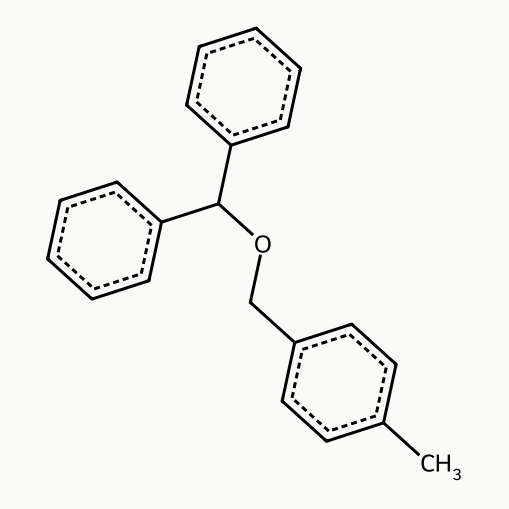 Cc1ccc(COC(c2ccccc2)c2ccccc2)cc1